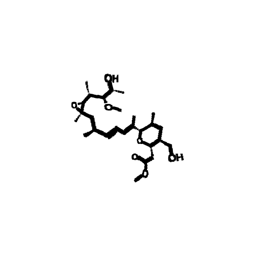 COC(=O)C[C@@H]1O[C@H](/C(C)=C/C=C/[C@@H](C)C[C@@]2(C)O[C@@H]2[C@H](C)[C@@H](OC)[C@@H](C)O)[C@@H](C)C[C@H]1CO